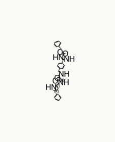 C[C@H](NC(=O)[C@H]1C[C@H](c2ccccc2)CN1)C(=O)NCc1ccc(C(=N)NC(=O)OCc2ccccc2)cc1